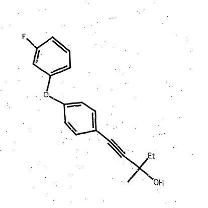 CCC(C)(O)C#Cc1ccc(Oc2cccc(F)c2)cc1